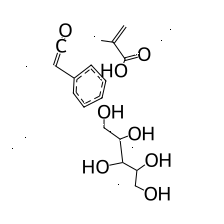 C=C(C)C(=O)O.O=C=Cc1ccccc1.OCC(O)C(O)C(O)CO